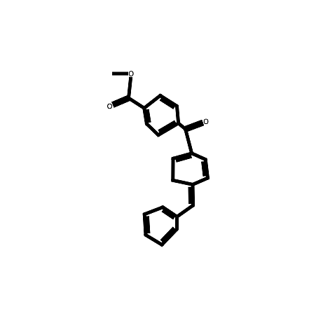 COC(=O)c1ccc(C(=O)C2=CCC(=Cc3ccccc3)C=C2)cc1